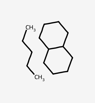 C1CCC2CCCCC2C1.CCCCC